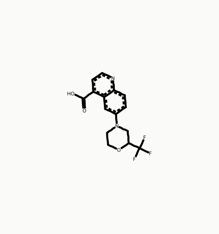 O=C(O)c1ccnc2ccc(N3CCOC(C(F)(F)F)C3)cc12